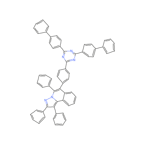 c1ccc(-c2ccc(-c3nc(-c4ccc(-c5ccccc5)cc4)nc(-c4ccc(-c5c(-c6ccccc6)n6nc(-c7ccccc7)c(-c7ccccc7)c6c6ccccc56)cc4)n3)cc2)cc1